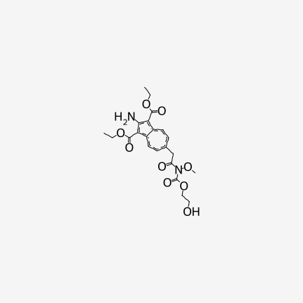 CCOC(=O)c1c2ccc(CC(=O)N(OC)C(=O)OCCO)ccc-2c(C(=O)OCC)c1N